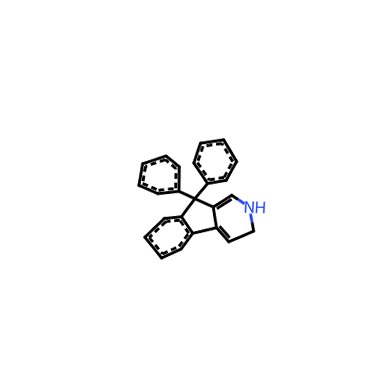 C1=C2C(=CNC1)C(c1ccccc1)(c1ccccc1)c1ccccc12